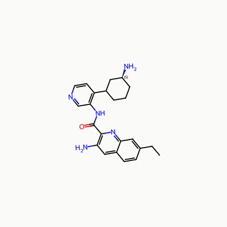 CCc1ccc2cc(N)c(C(=O)Nc3cnccc3C3CCC[C@H](N)C3)nc2c1